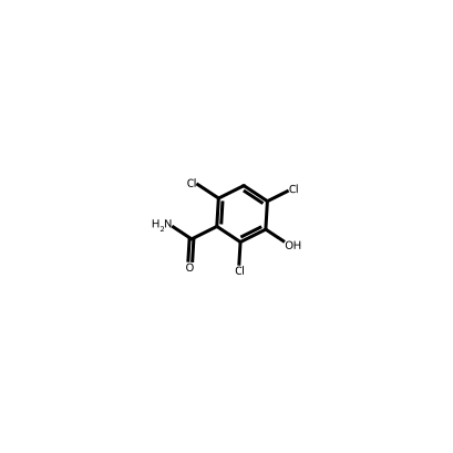 NC(=O)c1c(Cl)cc(Cl)c(O)c1Cl